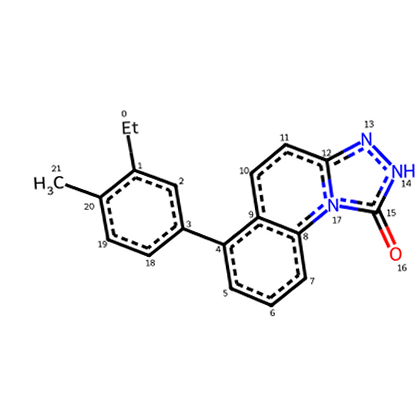 CCc1cc(-c2cccc3c2ccc2n[nH]c(=O)n23)ccc1C